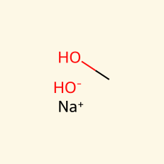 CO.[Na+].[OH-]